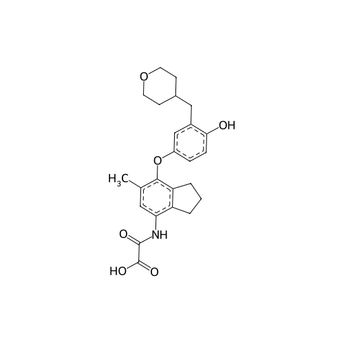 Cc1cc(NC(=O)C(=O)O)c2c(c1Oc1ccc(O)c(CC3CCOCC3)c1)CCC2